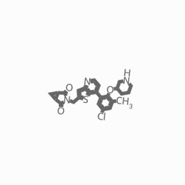 Cc1cc(Cl)cc(-c2ccnc3cc(CN4C(=O)C5CC5C4=O)sc23)c1OC1CCCNC1